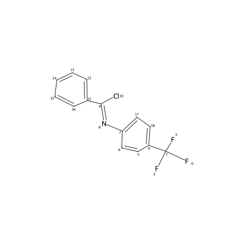 FC(F)(F)c1ccc(/N=C(\Cl)c2ccccc2)cc1